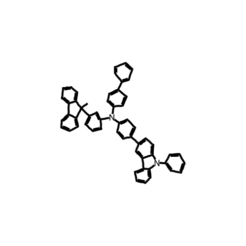 CC1(c2cccc(N(c3ccc(-c4ccccc4)cc3)c3ccc(-c4ccc5c(c4)c4ccccc4n5-c4ccccc4)cc3)c2)c2ccccc2-c2ccccc21